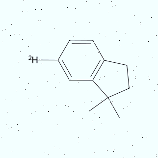 [2H]c1ccc2c(c1)C(C)(C)CC2